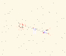 CC(=O)OCC1OC(OCCCCCC(=O)NCCCCCC(=O)N(CCO)CCO)C(C)C(O)C1O